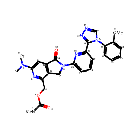 CNC(=O)OCc1nc(N(C)C(C)C)cc2c1CN(c1cccc(-c3nncn3-c3ccccc3OC)n1)C2=O